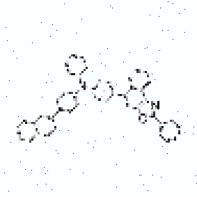 C1=CCC(N(c2ccc(-c3ccc4ccccc4c3)cc2)c2ccc(-c3cc4oc(-c5ccccc5)nc4c4ccccc34)cc2)C=C1